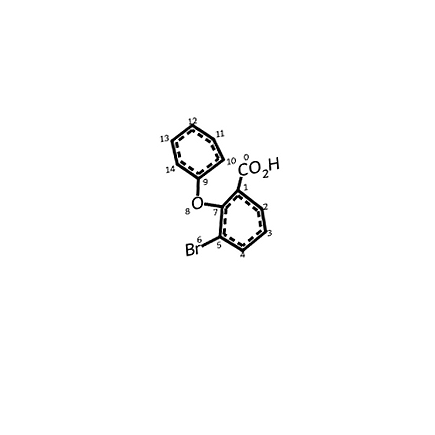 O=C(O)c1cccc(Br)c1Oc1ccccc1